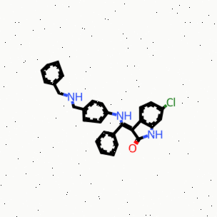 O=C1Nc2cc(Cl)ccc2C1=C(Nc1ccc(CNCc2ccccc2)cc1)c1ccccc1